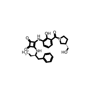 CC[C@H](Cc1ccccc1)Nc1c(Nc2cccc(C(=O)N3CC[C@H](CO)C3)c2O)c(=O)c1=O